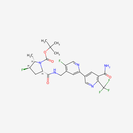 C[C@H]1[C@H](F)C[C@@H](C(=O)NCc2cc(-c3cnc(C(F)(F)F)c(C(N)=O)c3)ncc2F)N1C(=O)OC(C)(C)C